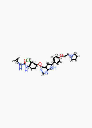 O=C(Nc1ccc(Oc2ncnc3[nH]c(-c4ccc(OCCN5CCCC5)cc4)cc23)cc1Cl)NC1CC1